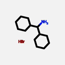 Br.NC(C1CCCCC1)C1CCCCC1